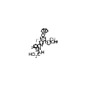 C[C@@]1(O)CCCN(c2nc(OCC34CCCN3CCC4)nc3c(F)c(-c4ccc(F)c5sc(NC(=O)O)nc45)ncc23)C1